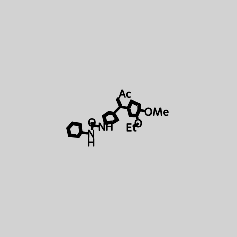 CCOc1cc(/C(=C\C(C)=O)c2ccc(NC(=O)Nc3ccccc3)cc2)ccc1OC